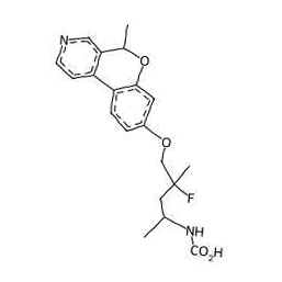 CC(CC(C)(F)COc1ccc2c(c1)OC(C)c1cnccc1-2)NC(=O)O